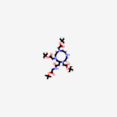 CC(C)(C)OC(=O)CNC(=O)CC1CN(CC(=O)OC(C)(C)C)CCN(CC(=O)OC(C)(C)C)CCNCCN1CC(=O)OC(C)(C)C